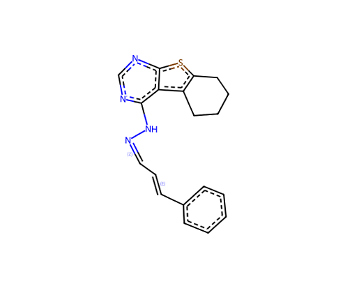 C(/C=C/c1ccccc1)=N/Nc1ncnc2sc3c(c12)CCCC3